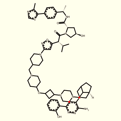 Cc1ncsc1-c1ccc([C@H](C)NC(=O)[C@@H]2C[C@@H](O)CN2C(=O)[C@@H](c2cc(N3CCC(CN4CCC(OC5CC(N6CCN(CC7C8CC[C@H]7CN(c7cc(-c9ccccc9O)nnc7N)C8)CC6)C5)CC4)CC3)no2)C(C)C)cc1